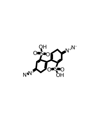 [N-]=[N+]=C1C=C(S(=O)(=O)O)C(C2=CCC(=[N+]=[N-])C=C2S(=O)(=O)O)=CC1